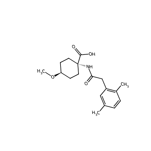 CO[C@H]1CC[C@@](NC(=O)Cc2cc(C)ccc2C)(C(=O)O)CC1